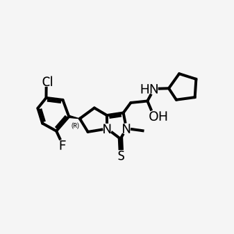 Cn1c(CC(O)NC2CCCC2)c2n(c1=S)C[C@@H](c1cc(Cl)ccc1F)C2